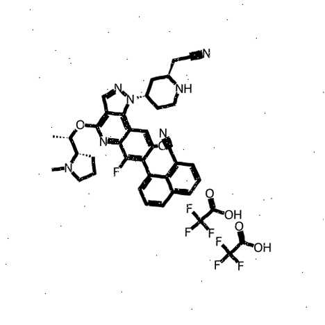 C[C@H](Oc1nc2c(F)c(-c3cccc4cccc(C#N)c34)c(Cl)cc2c2c1cnn2[C@H]1CCN[C@H](CC#N)C1)[C@@H]1CCCN1C.O=C(O)C(F)(F)F.O=C(O)C(F)(F)F